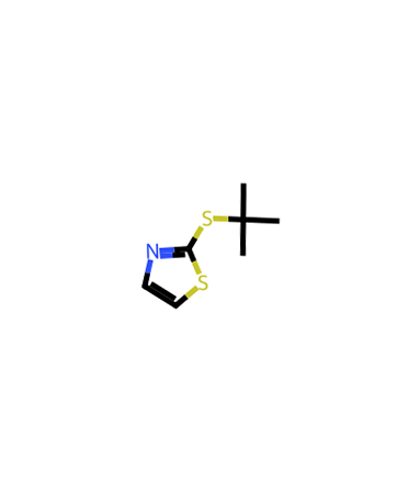 CC(C)(C)Sc1nccs1